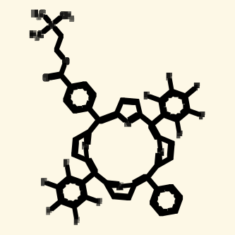 C[Si](C)(C)CCOC(=O)c1ccc(C2=C3C=CC(=N3)C(c3c(F)c(F)c(F)c(F)c3F)=C3C=CC(=N3)C(c3ccccc3)=C3C=CC(=N3)C(c3c(F)c(F)c(F)c(F)c3F)=C3C=CC2=N3)cc1